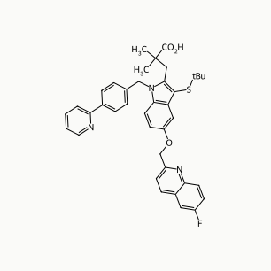 CC(C)(C)Sc1c(CC(C)(C)C(=O)O)n(Cc2ccc(-c3ccccn3)cc2)c2ccc(OCc3ccc4cc(F)ccc4n3)cc12